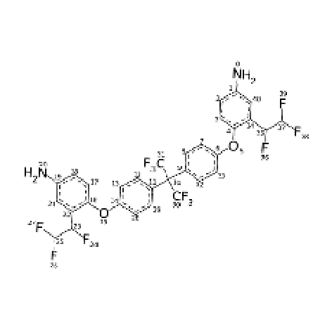 Nc1ccc(Oc2ccc(C(c3ccc(Oc4ccc(N)cc4C(F)C(F)F)cc3)(C(F)(F)F)C(F)(F)F)cc2)c(C(F)C(F)F)c1